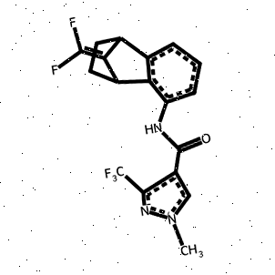 Cn1cc(C(=O)Nc2cccc3c2C2CCC3C2=C(F)F)c(C(F)(F)F)n1